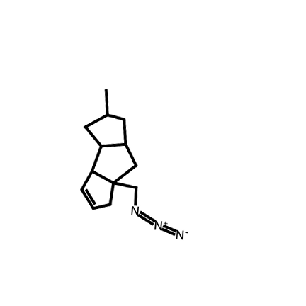 CC1CC2CC3(CN=[N+]=[N-])CC=CC3C2C1